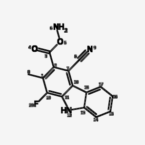 Cc1c(C(=O)ON)c(C#N)c2c([nH]c3ccccc32)c1F